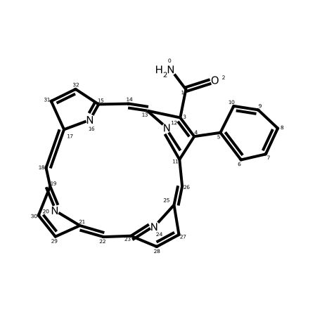 NC(=O)C1=C(c2ccccc2)C2=NC1=CC1=NC(=CC3=NC(=CC4=NC(=C2)C=C4)C=C3)C=C1